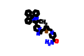 Cc1nn(C(c2ccccc2)(c2ccccc2)C2C=CC=CC2)cc1-c1ccc2ncc(-c3ccc(CN4CCC(C(N)=O)CC4)s3)n2c1